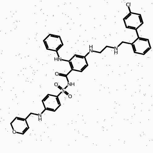 O=C(NS(=O)(=O)c1ccc(NCC2=CCOC=C2)cc1)c1ccc(NCCNCc2ccccc2-c2ccc(Cl)cc2)cc1Nc1ccccc1